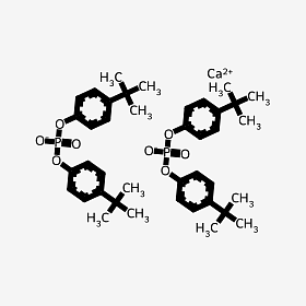 CC(C)(C)c1ccc(OP(=O)([O-])Oc2ccc(C(C)(C)C)cc2)cc1.CC(C)(C)c1ccc(OP(=O)([O-])Oc2ccc(C(C)(C)C)cc2)cc1.[Ca+2]